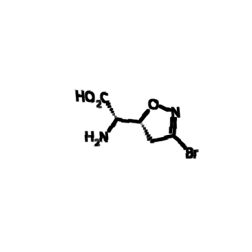 N[C@H](C(=O)O)[C@H]1CC(Br)=NO1